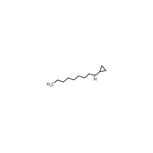 CCCCCCCCPC1CC1